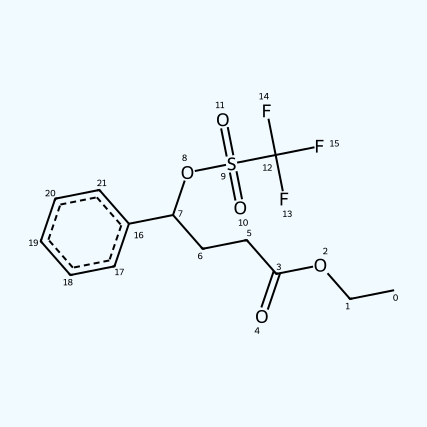 CCOC(=O)CCC(OS(=O)(=O)C(F)(F)F)c1ccccc1